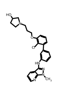 Cn1nc(Nc2cccc(-c3cccc(OCCCN4CCC(O)C4)c3Cl)c2)c2cccnc21